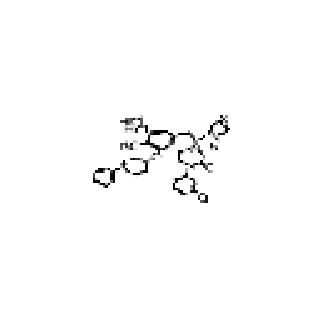 Cl.Cl.N#Cc1ccc(CC(c2cnc[nH]2)N2CCN(c3cccc(Cl)c3)C(=O)C2)cc1Oc1ccc(-c2ccccc2)cc1